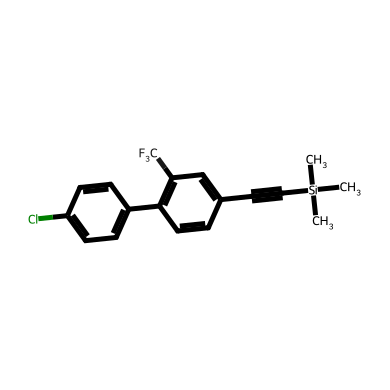 C[Si](C)(C)C#Cc1ccc(-c2ccc(Cl)cc2)c(C(F)(F)F)c1